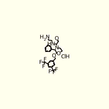 Cl.NCCNC(C=O)N1CCOC(OCc2cc(C(F)(F)F)cc(C(F)(F)F)c2)C1c1ccccc1